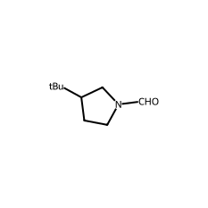 CC(C)(C)C1CCN(C=O)C1